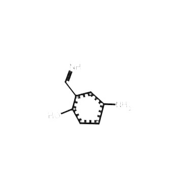 N=Cc1cc(N)ccc1O